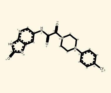 O=C(Nc1cnc2[nH]c(=O)oc2c1)C(=O)N1CCN(c2ccc(C(F)(F)F)cc2)CC1